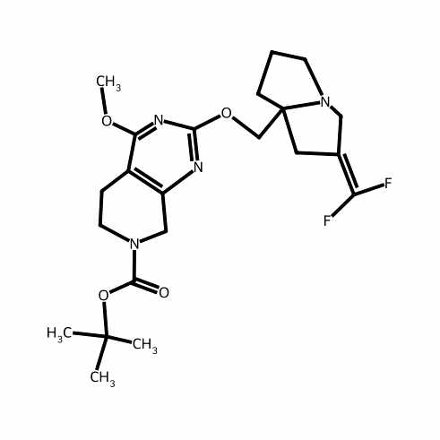 COc1nc(OCC23CCCN2CC(=C(F)F)C3)nc2c1CCN(C(=O)OC(C)(C)C)C2